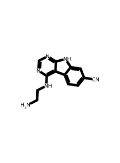 N#Cc1ccc2c(c1)[nH]c1ncnc(NCCN)c12